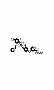 CNC(=O)c1cc(Oc2ccc(CNC(=O)Nc3cc(C(F)(F)F)c(Cl)cc3OCCN3CCCC3)cc2)ccn1